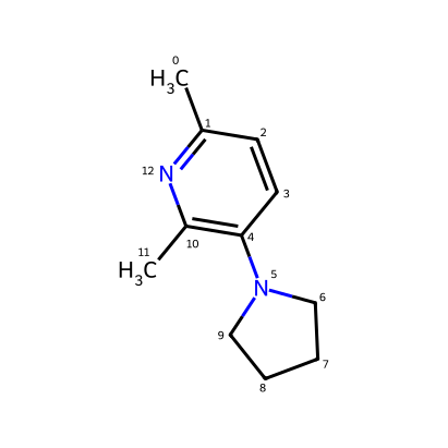 Cc1ccc(N2CCCC2)c(C)n1